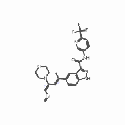 C=N/C=C(\C=C(/C)c1ccc2[nH]nc(C(=O)Nc3ccc(C(F)(F)F)nc3)c2c1)N1CCOCC1